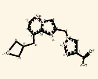 O=C(O)c1cn(Cc2cn3nccc(CC4COC4)c3n2)nn1